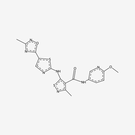 COc1ccc(NC(=O)c2c(C)nsc2Nc2ncc(-c3nc(C)no3)s2)cn1